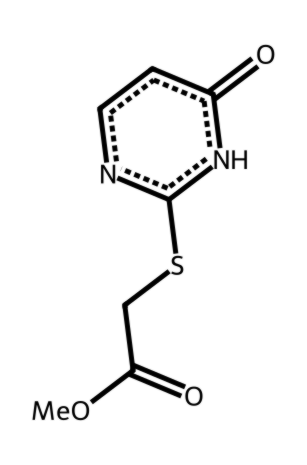 COC(=O)CSc1nccc(=O)[nH]1